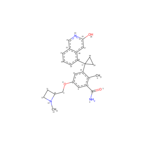 Cc1c(C(N)=O)cc(OCC2CCN2C)cc1C1(c2cccc3cnc(O)cc23)CC1